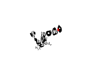 Cc1csc2c(-n3nc(Nc4ccc(N5CCN([C@H]6CC7CCC6C7)CC5)cc4)nc3N)nc(C=CCN3CCOCC3)nc12